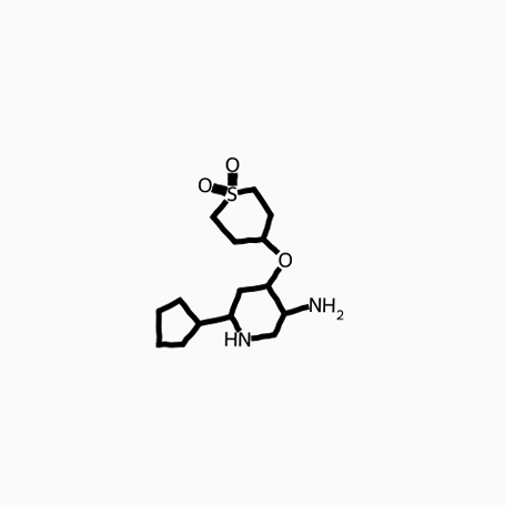 NC1CNC(C2CCCC2)CC1OC1CCS(=O)(=O)CC1